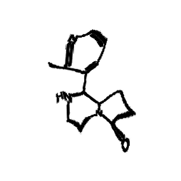 Cc1ncccc1C1NCCN2C(=O)CCC12